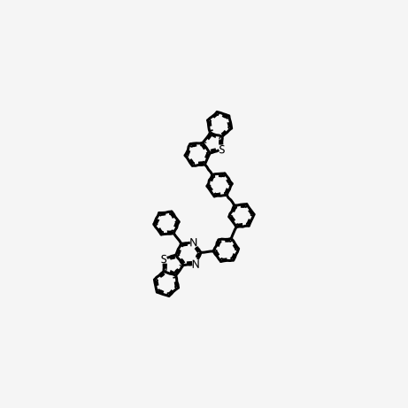 c1ccc(-c2nc(-c3cccc(-c4cccc(-c5ccc(-c6cccc7c6sc6ccccc67)cc5)c4)c3)nc3c2sc2ccccc23)cc1